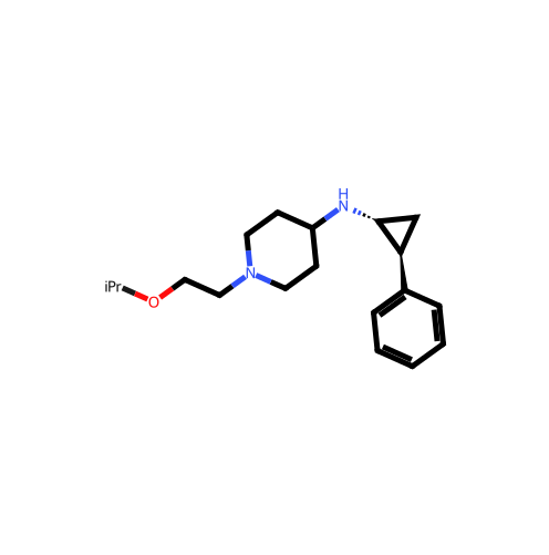 CC(C)OCCN1CCC(N[C@@H]2C[C@H]2c2ccccc2)CC1